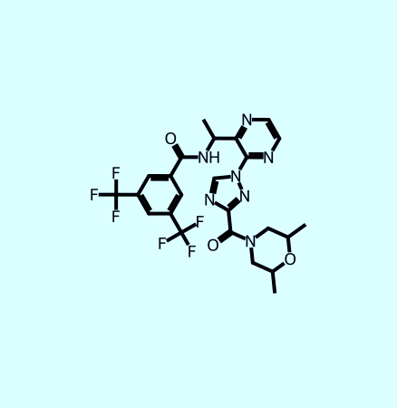 CC1CN(C(=O)c2ncn(-c3nccnc3C(C)NC(=O)c3cc(C(F)(F)F)cc(C(F)(F)F)c3)n2)CC(C)O1